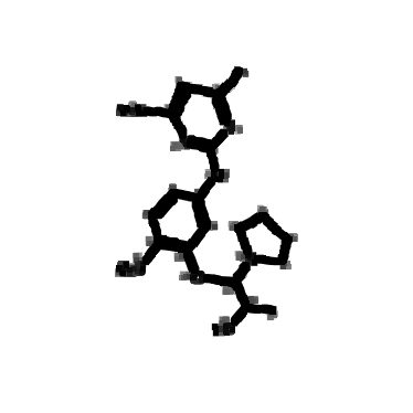 CNc1cc(C)nc(Nc2ccc(OC)c(OC(C(C)O)N3CCCC3)c2)n1